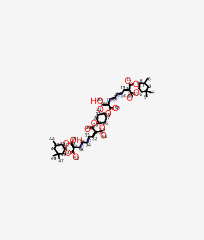 CC1CC(C)(C)CC2(C1)OC(=O)C(=C/C=C/C=C/C1=C(O)OC3(CCC4(CC3)OC(=O)C(=C/C=C/C=C/C3=C(O)OC5(CC(C)CC(C)(C)C5)OC3=O)C(=O)O4)OC1=O)C(=O)O2